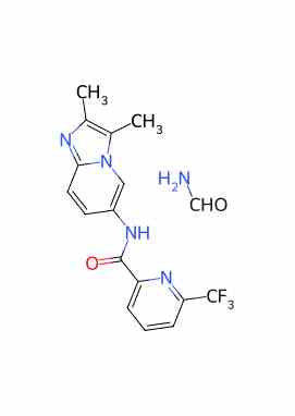 Cc1nc2ccc(NC(=O)c3cccc(C(F)(F)F)n3)cn2c1C.NC=O